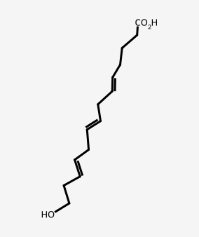 O=C(O)CCCC=CCC=CCC=CCCO